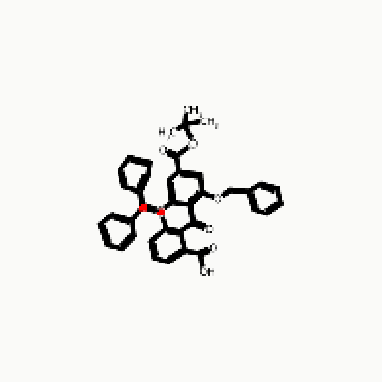 CC(C)(C)OC(=O)c1cc(OCc2ccccc2)c(C(=O)c2c(OCc3ccccc3)cccc2C(=O)O)c(OCc2ccccc2)c1